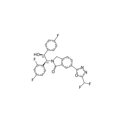 O=C1c2cc(-c3nnc(C(F)F)o3)ccc2CN1[C@@H](c1ccc(F)cc1F)[C@@H](O)c1ccc(F)cc1